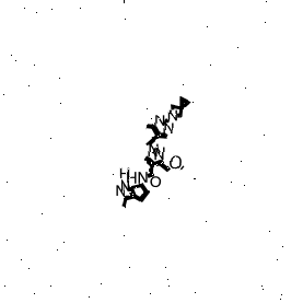 COCc1nn(Cc2cnc(N3CC4(CC4)C3)nc2C)cc1C(=O)N[C@@H]1CCc2c(C)n[nH]c21